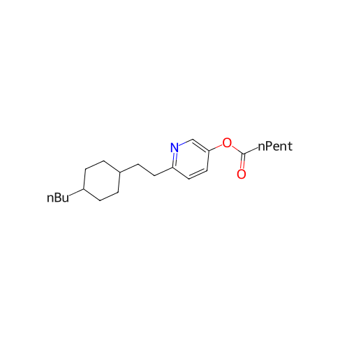 CCCCCC(=O)Oc1ccc(CCC2CCC(CCCC)CC2)nc1